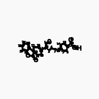 O=C[C@H](CCNc1ccc(S(=O)O)cc1)N1CCC2(CC1)C(=O)Oc1ccccc12